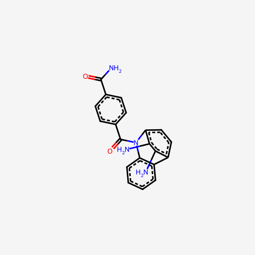 NC(=O)c1ccc(C(=O)N2c3ccccc3-c3ccc2c(N)c3N)cc1